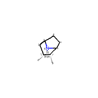 C[C@@H]1CC2CCC([C@@H]1C)N2C